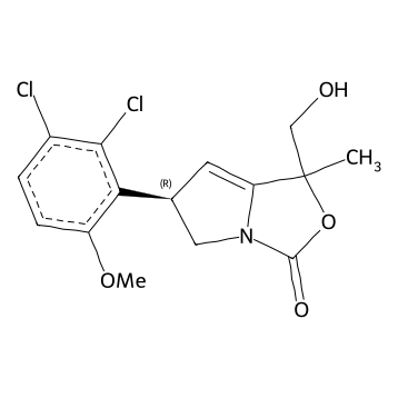 COc1ccc(Cl)c(Cl)c1[C@H]1C=C2N(C1)C(=O)OC2(C)CO